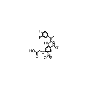 CC(=NNc1cc(OCC(=O)O)c([N+](=O)[O-])cc1[N+](=O)[O-])c1ccc(F)c(F)c1